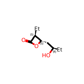 CC[C@@H](O)C[C@@H]1OC(=O)[C@H]1CC